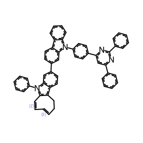 C1=C\c2c(c3ccc(-c4ccc5c6ccccc6n(-c6ccc(-c7cc(-c8ccccc8)nc(-c8ccccc8)n7)cc6)c5c4)cc3n2-c2ccccc2)CC/C=C/1